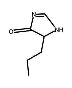 CCCC1NC=NC1=O